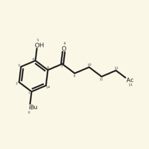 CCC(C)c1ccc(O)c(C(=O)CCCCC(C)=O)c1